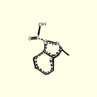 Cc1nn(S(=O)O)c2ccccc12